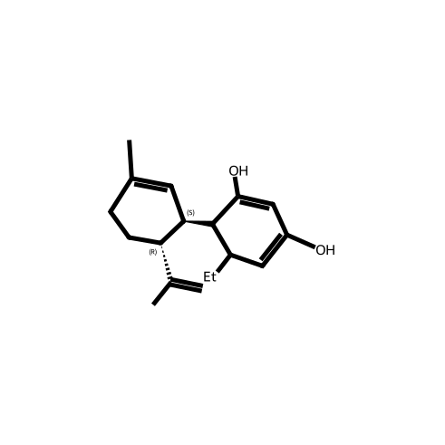 C=C(C)[C@@H]1CCC(C)=C[C@H]1C1C(O)=CC(O)=CC1CC